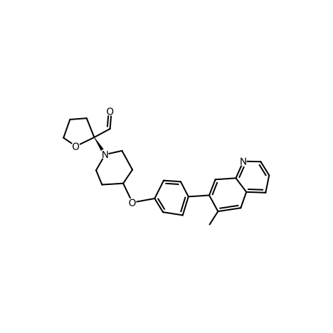 Cc1cc2cccnc2cc1-c1ccc(OC2CCN([C@]3(C=O)CCCO3)CC2)cc1